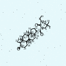 CCNC(=O)N(CC(C)(C)C)C(=O)[C@H]1CC[C@H]2[C@@H]3CC[C@H]4C(C)[N+](=O)CC[C@]4(C)[C@H]3CC[C@]12C